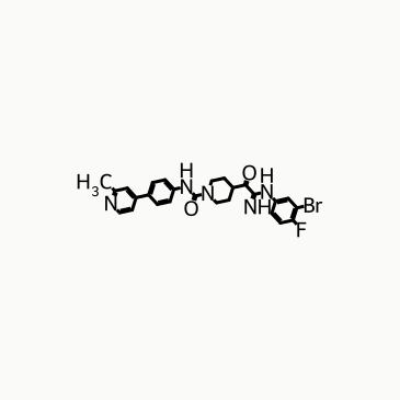 Cc1cc(-c2ccc(NC(=O)N3CCC(C(=O)C(=N)Nc4ccc(F)c(Br)c4)CC3)cc2)ccn1